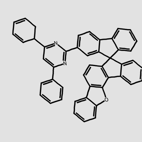 C1=CCC(c2cc(-c3ccccc3)nc(-c3ccc4c(c3)C3(c5ccccc5-4)c4ccccc4-c4c3ccc3c4oc4ccccc43)n2)C=C1